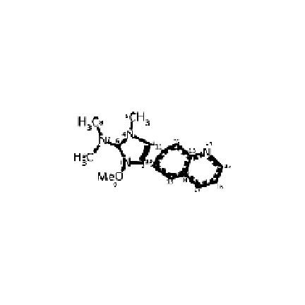 CON1C=CN(C)C1N(C)C.c1ccc2ncccc2c1